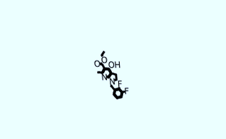 CCOC(=O)c1c(C)nc2c(c1O)CCN2Cc1cccc(F)c1F